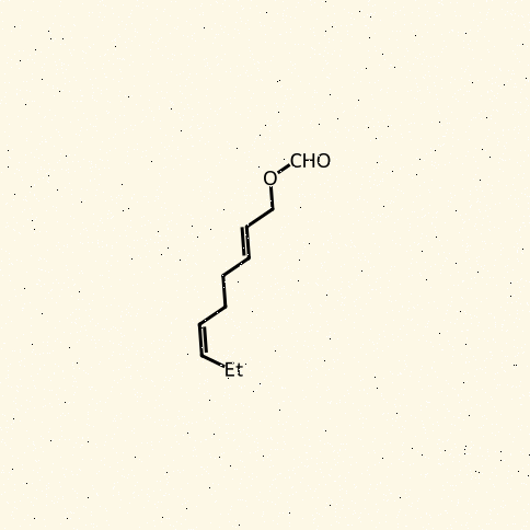 CC/C=C\CC/C=C/COC=O